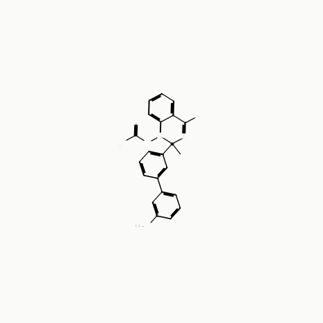 COc1cccc(-c2cccc(C3(C)N=C(N)c4ccccc4N3OC(=O)C(F)(F)F)c2)c1